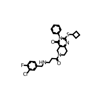 O=C(CCNCc1ccc(F)c(Cl)c1)N1CCc2nc(SC3CCC3)n(-c3ccccc3)c(=O)c2C1